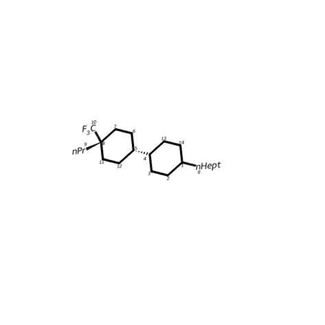 CCCCCCCC1CCC([C@H]2CC[C@@](CCC)(C(F)(F)F)CC2)CC1